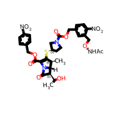 CC(=O)NOCc1cc(COC(=O)N2CC[C@H](SC3=C(C(=O)OCc4ccc([N+](=O)[O-])cc4)N4C(=O)[C@H](C(C)O)[C@H]4[C@H]3C)C2)ccc1[N+](=O)[O-]